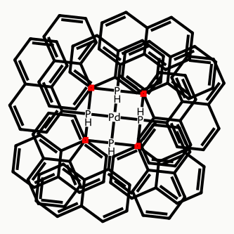 c1ccc2c([PH](c3cccc4ccccc34)(c3cccc4ccccc34)[Pd]([PH](c3cccc4ccccc34)(c3cccc4ccccc34)c3cccc4ccccc34)([PH](c3cccc4ccccc34)(c3cccc4ccccc34)c3cccc4ccccc34)[PH](c3cccc4ccccc34)(c3cccc4ccccc34)c3cccc4ccccc34)cccc2c1